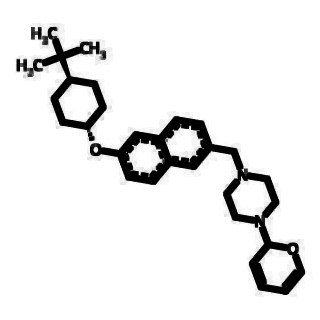 CC(C)(C)[C@H]1CC[C@H](Oc2ccc3cc(CN4CCN(C5C=CC=CO5)CC4)ccc3c2)CC1